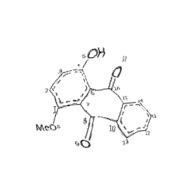 COc1ccc(O)c2c1C(=O)c1ccccc1C2=O